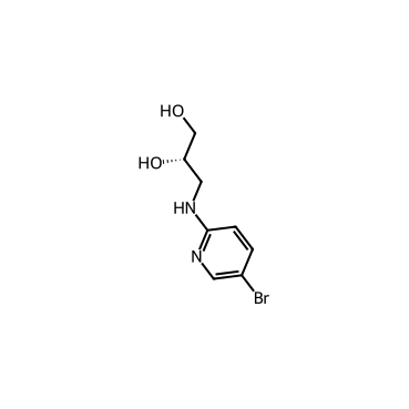 OC[C@@H](O)CNc1ccc(Br)cn1